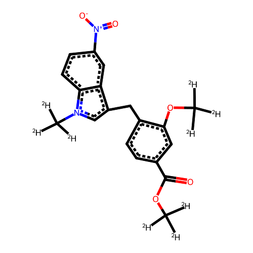 [2H]C([2H])([2H])OC(=O)c1ccc(Cc2cn(C([2H])([2H])[2H])c3ccc([N+](=O)[O-])cc23)c(OC([2H])([2H])[2H])c1